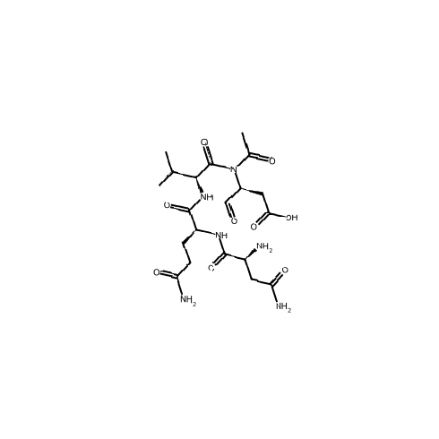 CC(=O)N(C(=O)[C@@H](NC(=O)[C@H](CCC(N)=O)NC(=O)[C@@H](N)CC(N)=O)C(C)C)[C@H](C=O)CC(=O)O